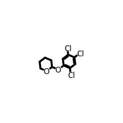 Clc1cc(Cl)c(OC2CCCCO2)cc1Cl